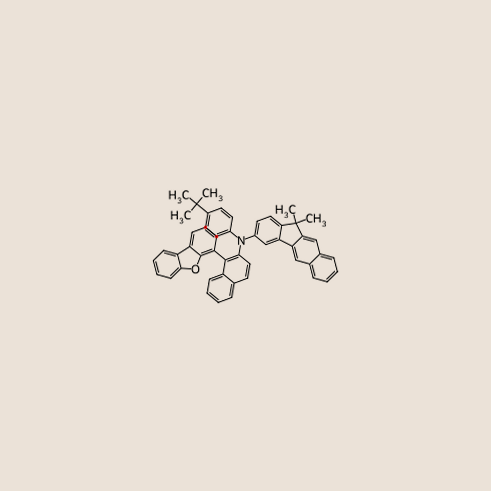 CC(C)(C)c1ccc(N(c2ccc3c(c2)-c2cc4ccccc4cc2C3(C)C)c2ccc3ccccc3c2-c2cccc3c2oc2ccccc23)cc1